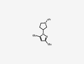 CCCN1CCC(n2nc(C(C)(C)C)cc2C(C)(C)C)C1